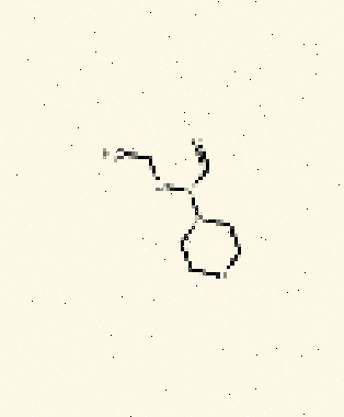 CCON(C=O)N1CCOCC1